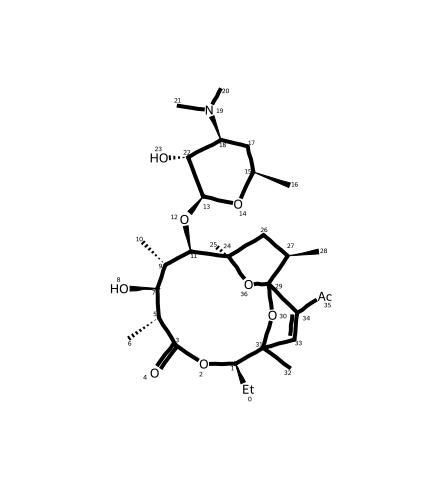 CC[C@H]1OC(=O)[C@H](C)[C@@H](O)[C@H](C)[C@@H](O[C@@H]2O[C@H](C)C[C@H](N(C)C)[C@H]2O)[C@@]2(C)C[C@@H](C)C3(OC1(C)C=C3C(C)=O)O2